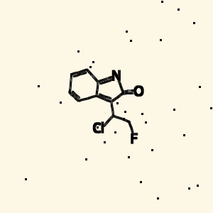 O=C1N=c2ccccc2=C1C(Cl)CF